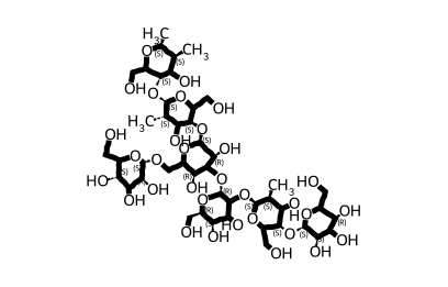 C[C@@H]1OC(CO)[C@@H](O[C@@H]2OC(CO)[C@@H](O[C@@H]3OC(CO[C@H]4OC(CO)[C@@H](O)C(O)[C@H]4O)[C@@H](O)C(O[C@H]4O[C@H](CO)[C@@H](O)C(O)C4O[C@@H]4OC(CO)[C@@H](O[C@@H]5OC(CO)[C@H](O)C(O)[C@@H]5O)C(O)[C@@H]4C)[C@H]3O)C(O)[C@@H]2C)C(O)[C@@H]1C